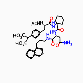 CC(=O)N[C@@H](Cc1ccc(C(C(=O)O)C(=O)O)cc1)C(=O)NC1(C(=O)N[C@@H](CC(N)=O)C(=O)NCCCc2cccc3ccccc23)CCCCC1